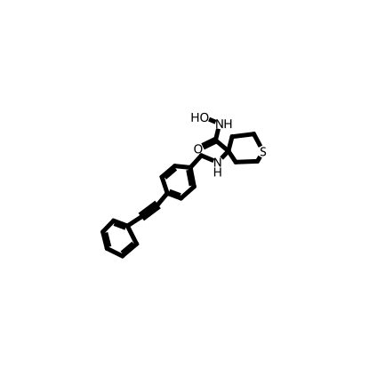 O=C(NO)C1(NCc2ccc(C#Cc3ccccc3)cc2)CCSCC1